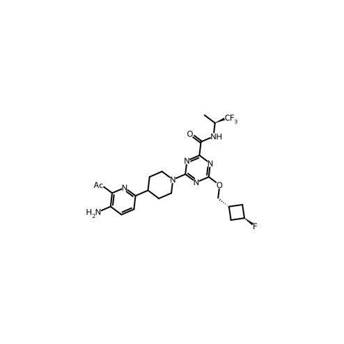 CC(=O)c1nc(C2CCN(c3nc(OC[C@H]4C[C@H](F)C4)nc(C(=O)N[C@@H](C)C(F)(F)F)n3)CC2)ccc1N